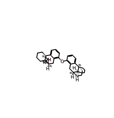 c1cc(Oc2cccc3c2C[C@H]2NCC[C@@]34CCCC[C@@H]24)c2c(c1)[C@@]13CCCC[C@H]1[C@@H](C2)NCC3